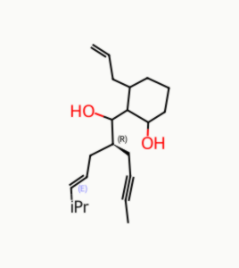 C=CCC1CCCC(O)C1C(O)[C@@H](CC#CC)C/C=C/C(C)C